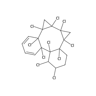 ClC1CCC2(Cl)C3(Cl)CC3(Cl)C3(Cl)CC3(Cl)C3(Cl)C=CC=CC3(Cl)C2(Cl)C1Cl